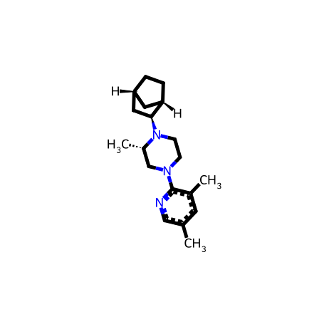 Cc1cnc(N2CCN([C@H]3C[C@@H]4CC[C@H]3C4)[C@@H](C)C2)c(C)c1